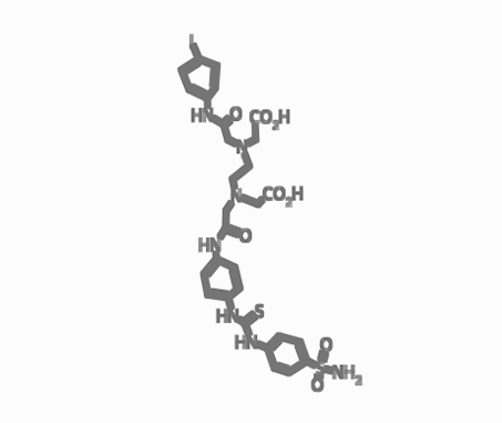 NS(=O)(=O)c1ccc(NC(=S)Nc2ccc(NC(=O)CN(CCN(CC(=O)O)CC(=O)Nc3ccc(I)cc3)CC(=O)O)cc2)cc1